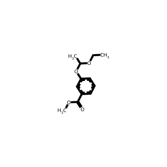 CCOC(C)Oc1cccc(C(=O)OC)c1